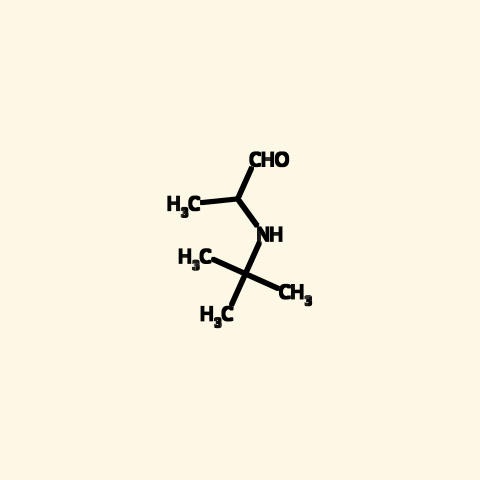 CC(C=O)NC(C)(C)C